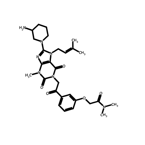 CC(C)=CCn1c(N2CCCC(N)C2)nc2c1c(=O)n(CC(=O)c1cccc(OCC(=O)N(C)C)c1)c(=O)n2C